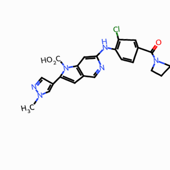 Cn1cc(-c2cc3cnc(Nc4ccc(C(=O)N5CCC5)cc4Cl)cc3n2C(=O)O)cn1